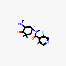 CNC1=C[C@@](C)(N(C)C(=O)c2c(F)cncc2F)CC(C)(C)C1=O